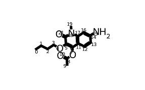 CCCCOc1c(OC(C)=O)c2ccc(N)cc2n(C)c1=O